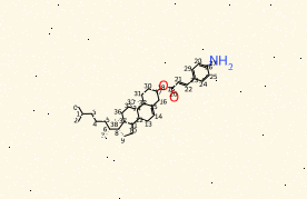 CC(C)CCC[C@@H](C)[C@H]1CCC2C3CC=C4CC(OC(=O)C=Cc5ccc(N)cc5)CC[C@]4(C)C3CC[C@@]21C